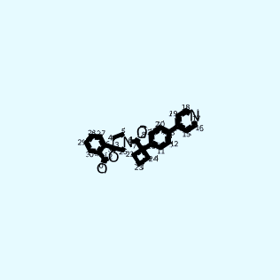 O=C1O[C@]2(CCN(C(=O)C3(c4ccc(-c5ccncc5)cc4)CCC3)C2)c2ccccc21